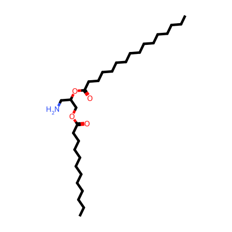 CCCCCCCCCCCCCCCC(=O)OC(CN)COC(=O)CCCCCCCCCCC